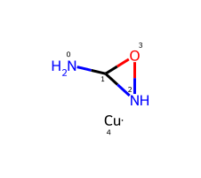 NC1NO1.[Cu]